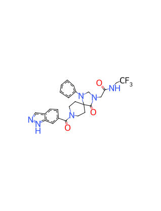 O=C(CN1CN(c2ccccc2)C2(CCN(C(=O)c3ccc4cn[nH]c4c3)CC2)C1=O)NCC(F)(F)F